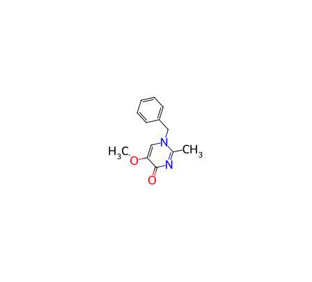 COc1cn(Cc2ccccc2)c(C)nc1=O